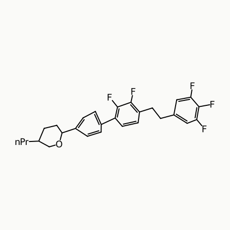 CCCC1CCC(c2ccc(-c3ccc(CCc4cc(F)c(F)c(F)c4)c(F)c3F)cc2)OC1